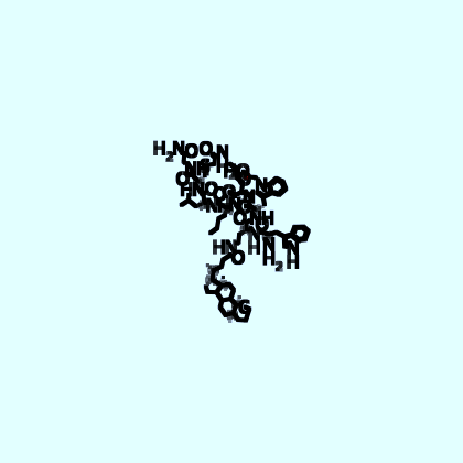 CCCCC(C(=O)N(C)[C@@H](CCCC)C(=O)N[C@@H](CC(C)C)C(=O)N[C@@H](CSCC(N)=O)C(=O)NCC(N)=O)N(C)C(=O)[C@H](Cc1cn(CC(=O)O)c2ccccc12)NC(=O)[C@H](CCNC(=O)CC[C@@H](C)[C@H]1CCC2C3CC[C@]4(C)CCCC[C@]4(C)C3CC[C@@]21C)NC(=O)[C@@H](N)Cc1c[nH]c2ccccc12